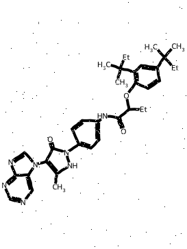 CCC(Oc1ccc(C(C)(C)CC)cc1C(C)(C)CC)C(=O)Nc1ccc(-n2[nH]c(C)c(-n3cnc4ncncc43)c2=O)cc1